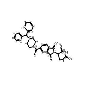 O=C1CCC(N2C(=O)c3ccc(C(=O)N4CCN(C(c5ccccn5)c5ccccn5)CC4)cc3C2=O)C(=O)N1